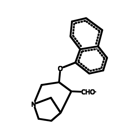 O=[C]C1C2CCN(C2)CC1Oc1cccc2ccccc12